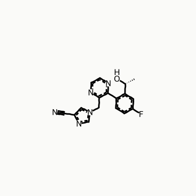 C[C@@H](O)c1cc(F)ccc1-c1nccnc1Cn1cnc(C#N)c1